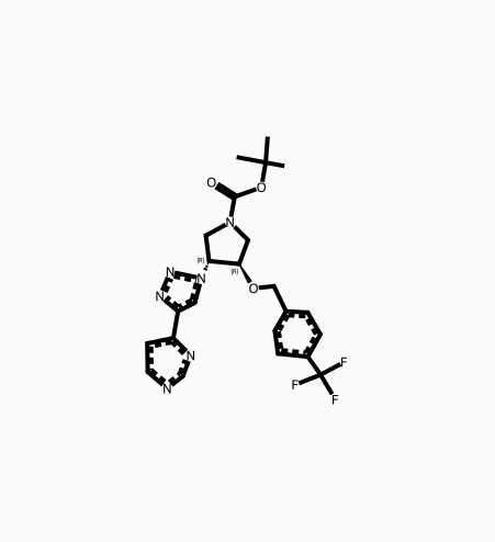 CC(C)(C)OC(=O)N1C[C@@H](n2cc(-c3ccncn3)nn2)[C@H](OCc2ccc(C(F)(F)F)cc2)C1